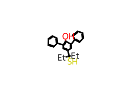 CCC(S)(CC)c1cc(-c2ccccc2)c(O)c(-c2ccccc2)c1